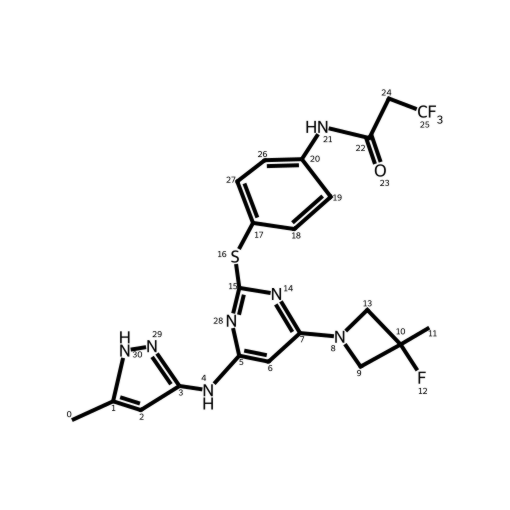 Cc1cc(Nc2cc(N3CC(C)(F)C3)nc(Sc3ccc(NC(=O)CC(F)(F)F)cc3)n2)n[nH]1